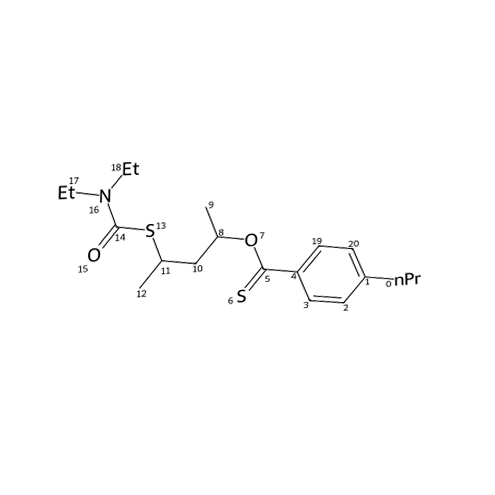 CCCc1ccc(C(=S)OC(C)CC(C)SC(=O)N(CC)CC)cc1